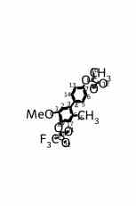 COc1cc(-c2ccc(OS(C)(=O)=O)cc2)c(C)cc1OS(=O)(=O)C(F)(F)F